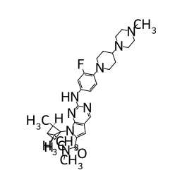 C[C@@H]1C2CC1(n1c(C(=O)N(C)C)cc3cnc(Nc4ccc(N5CCC(N6CCN(C)CC6)CC5)c(F)c4)nc31)[C@@H]2C